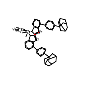 CCC1=Cc2c(-c3ccc(C45CC6CC(CC(C6)C4)C5)cc3)cccc2[CH]1[Zr]([CH3])([CH3])(=[SiH2])[CH]1C(C(C)C)=Cc2c(-c3ccc(C45CC6CC(CC(C6)C4)C5)cc3)cccc21.Cl.Cl